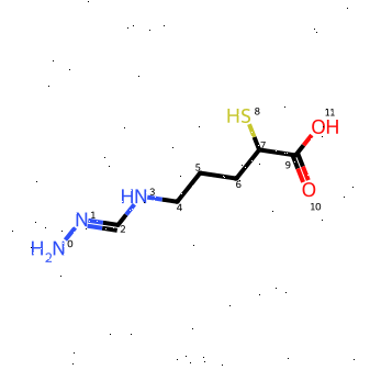 NN=CNCCCC(S)C(=O)O